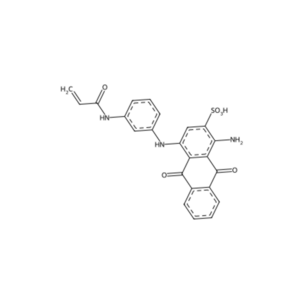 C=CC(=O)Nc1cccc(Nc2cc(S(=O)(=O)O)c(N)c3c2C(=O)c2ccccc2C3=O)c1